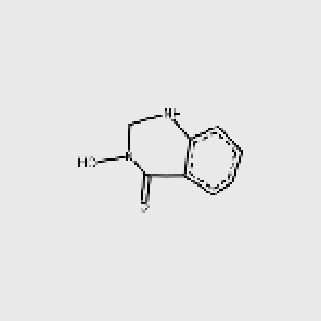 O=C1c2ccccc2NCN1O